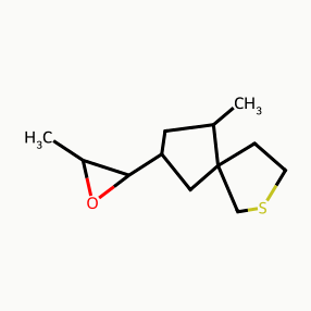 CC1OC1C1CC(C)C2(CCSC2)C1